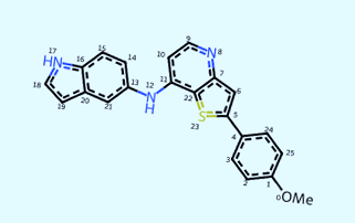 COc1ccc(-c2cc3nccc(Nc4ccc5[nH]ccc5c4)c3s2)cc1